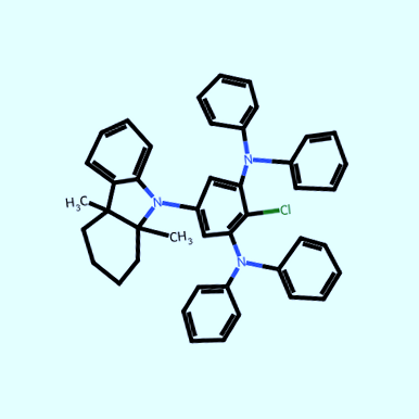 CC12CCCCC1(C)N(c1cc(N(c3ccccc3)c3ccccc3)c(Cl)c(N(c3ccccc3)c3ccccc3)c1)c1ccccc12